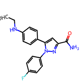 NC(=O)c1cc(-c2ccc(NCC=O)cc2)n(-c2ccc(F)cc2)n1